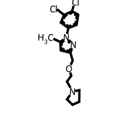 Cc1cc(COCCN2CCCC2)nn1-c1ccc(Cl)c(Cl)c1